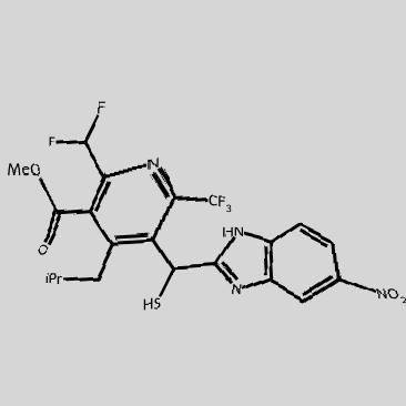 COC(=O)c1c(C(F)F)nc(C(F)(F)F)c(C(S)c2nc3cc([N+](=O)[O-])ccc3[nH]2)c1CC(C)C